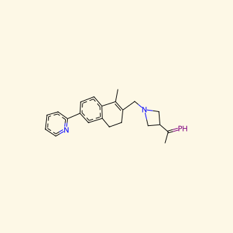 CC(=P)C1CN(CC2=C(C)c3ccc(-c4ccccn4)cc3CC2)C1